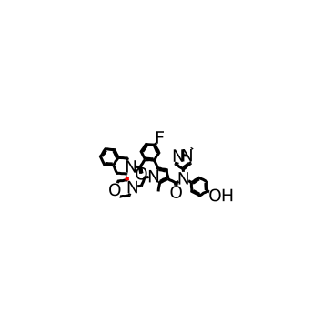 Cc1c(C(=O)N(c2ccc(O)cc2)c2cnn(C)c2)cc(-c2cc(F)ccc2C(=O)N2Cc3ccccc3C[C@H]2C)n1CCN1CCOCC1